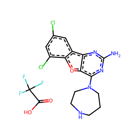 Nc1nc(N2CCCNCC2)c2oc3c(Cl)cc(Cl)cc3c2n1.O=C(O)C(F)(F)F